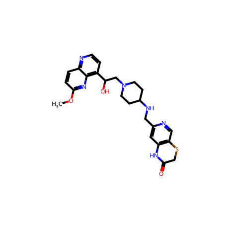 COc1ccc2nccc(C(O)CN3CCC(NCc4cc5c(cn4)SCC(=O)N5)CC3)c2n1